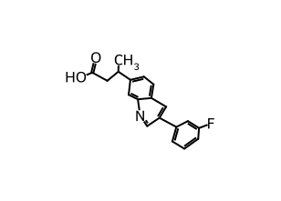 CC(CC(=O)O)c1ccc2cc(-c3cccc(F)c3)cnc2c1